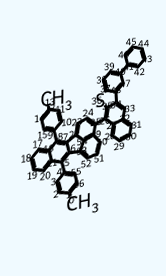 Cc1ccc(-c2c3c(c(-c4ccc(C)cc4)c4ccccc24)-c2ccc(-c4c5ccccc5cc5c4sc4ccc(-c6ccccc6)cc45)c4cccc-3c24)cc1